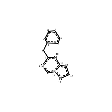 [c]1nc(Cc2ccccc2)nc2ccnn12